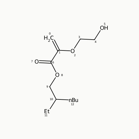 C=C(OCCO)C(=O)OCC(CC)CCCC